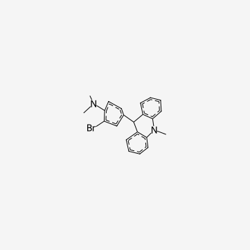 CN(C)c1ccc(C2c3ccccc3N(C)c3ccccc32)cc1Br